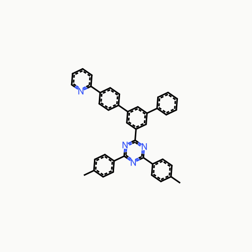 Cc1ccc(-c2nc(-c3ccc(C)cc3)nc(-c3cc(-c4ccccc4)cc(-c4ccc(-c5ccccn5)cc4)c3)n2)cc1